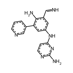 N=Cc1cc(Nc2ccnc(N)n2)cc(-c2cccnc2)c1N